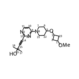 COC1CC(OC2CCN(c3ccnc(C#CC(C)(C)O)n3)CC2)C1